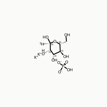 O=P([O-])([O-])O.[2H][C@]1(O)O[C@H](CO)[C@@H](O)[C@H](O)[C@@H]1O.[K+].[K+]